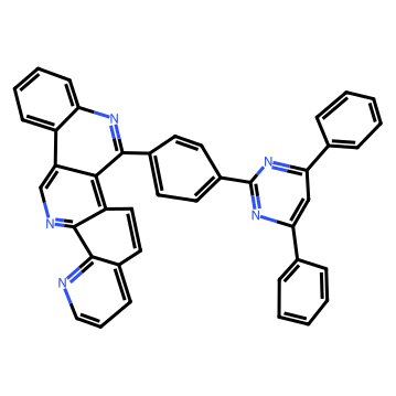 c1ccc(-c2cc(-c3ccccc3)nc(-c3ccc(-c4nc5ccccc5c5cnc6c(ccc7cccnc76)c45)cc3)n2)cc1